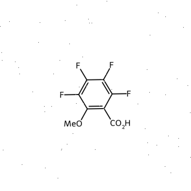 COc1c(F)c(F)c(F)c(F)c1C(=O)O